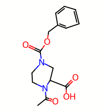 CC(=O)N1CCN(C(=O)OCc2ccccc2)CC1C(=O)O